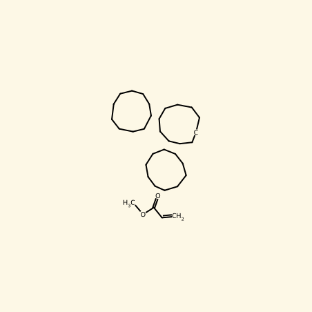 C1CCCCCCCCC1.C1CCCCCCCCC1.C1CCCCCCCCC1.C=CC(=O)OC